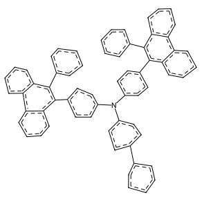 c1ccc(-c2ccc(N(c3ccc(-c4c(-c5ccccc5)c5ccccc5c5ccccc45)cc3)c3ccc(-c4c(-c5ccccc5)c5ccccc5c5ccccc45)cc3)cc2)cc1